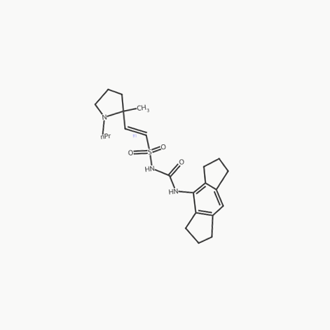 CCCN1CCCC1(C)/C=C/S(=O)(=O)NC(=O)Nc1c2c(cc3c1CCC3)CCC2